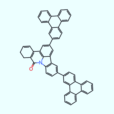 O=c1c2c(c3cc(-c4ccc5c6ccccc6c6ccccc6c5c4)cc4c5cc(-c6ccc7c8ccccc8c8ccccc8c7c6)ccc5n1c34)C=CCC2